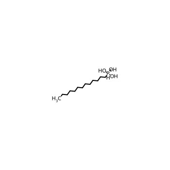 CCCCCCCCCCCCC[PH](O)(O)O